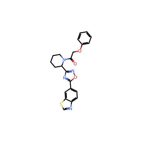 O=C(COc1ccccc1)N1CCCCC1c1noc(-c2ccc3ncsc3c2)n1